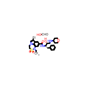 CCc1cn2c3c(cc(C(=O)N[C@@H](Cc4ccccc4)[C@H](O)CNC4CCOCC4)cc13)N(CC(F)(F)F)S(=O)(=O)CC2.O=CO